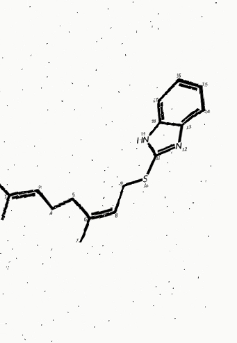 CC(C)=CCCC(C)=CCSc1nc2ccccc2[nH]1